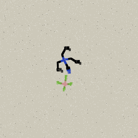 CC[N+](C#N)(CC)CC.F[B-](F)(F)F